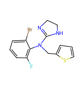 Fc1cccc(Br)c1N(Cc1cccs1)C1=NCCN1